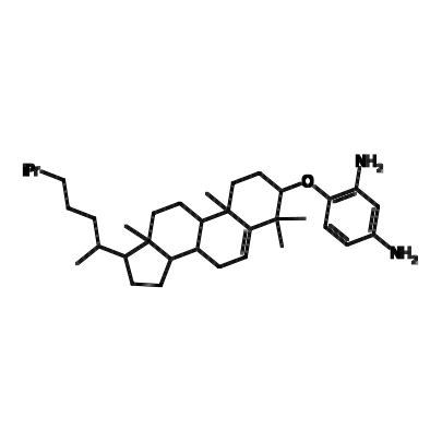 CC(C)CCCC(C)C1CCC2C3CC=C4C(C)(C)C(Oc5ccc(N)cc5N)CCC4(C)C3CCC12C